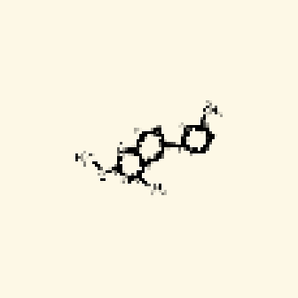 CNc1nc(C)c2cc(-c3cccc(C)c3)ccc2n1